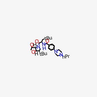 CCCN1CCN(c2ccc(C(=O)NC(CC(C)(C)C)C(=O)N3C[C@@H](C(C)(C)C)[C@H]4OCC(=O)[C@H]43)cc2)CC1